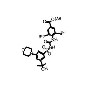 COC(=O)c1cc(C(C)C)c(NC(=O)NS(=O)(=O)c2cc(N3CCOCC3)cc(C(C)(C)O)c2)c(C(C)C)c1